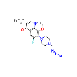 CCOC(=O)c1cn2c3c(c(N4CCN(CN=[N+]=[N-])CC4)c(F)cc3c1=O)OCC2